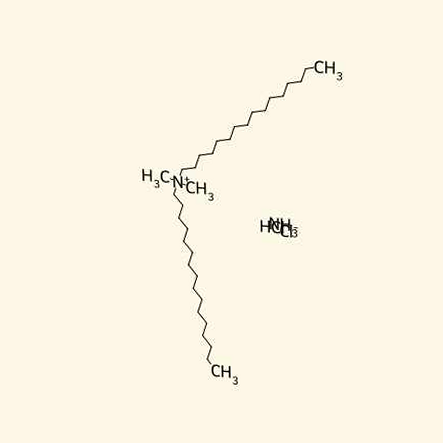 CCCCCCCCCCCCCCCC[N+](C)(C)CCCCCCCCCCCCCCCC.Cl.N.[Cl-]